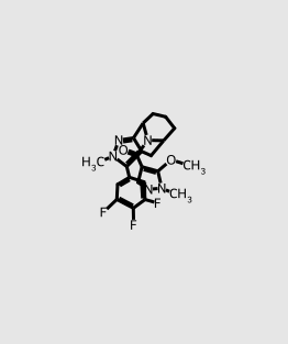 COc1c(C(=O)N2C3CCCC2c2nn(C)c(-c4cc(F)c(F)c(F)c4)c2C3)cnn1C